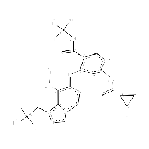 [2H]C([2H])([2H])NC(=O)c1cnc(NC(=O)[C@@H]2C[C@@H]2F)cc1Nc1ncc2cnn(CC(C)(F)F)c2c1OC